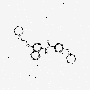 O=C(Nc1ccc(OCCN2CCCCC2)c2ccccc12)c1ccc(CN2CCCCC2)cc1